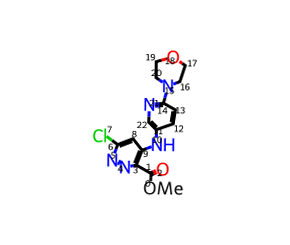 COC(=O)c1nnc(Cl)cc1Nc1ccc(N2CCOCC2)nc1